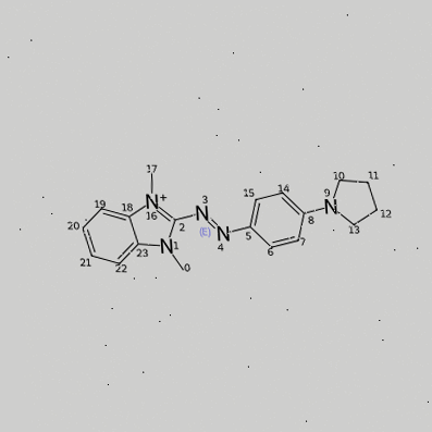 Cn1c(/N=N/c2ccc(N3CCCC3)cc2)[n+](C)c2ccccc21